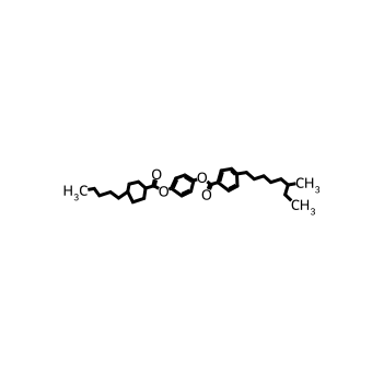 CCCCCC1CCC(C(=O)Oc2ccc(OC(=O)c3ccc(CCCCCC(C)CC)cc3)cc2)CC1